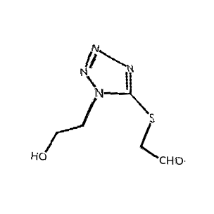 O=[C]CSc1nnnn1CCO